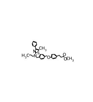 CCCN(Cc1ccc(COc2ccc(CCC(=O)OC)cc2)cc1)c1nc(-c2ccccc2)c(C)s1